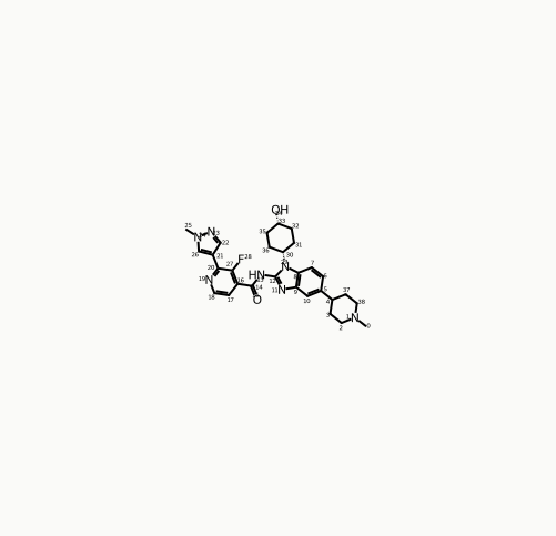 CN1CCC(c2ccc3c(c2)nc(NC(=O)c2ccnc(-c4cnn(C)c4)c2F)n3[C@H]2CC[C@@H](O)CC2)CC1